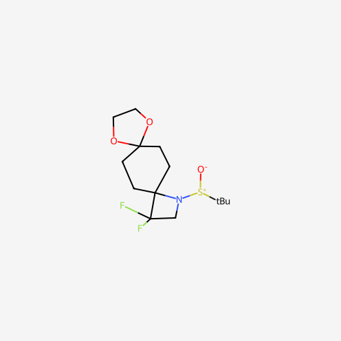 CC(C)(C)[S+]([O-])N1CC(F)(F)C12CCC1(CC2)OCCO1